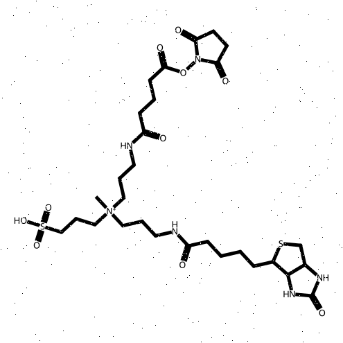 C[N+](CCCNC(=O)CCCCC1SCC2NC(=O)NC21)(CCCNC(=O)CCCC(=O)ON1C(=O)CCC1=O)CCCS(=O)(=O)O